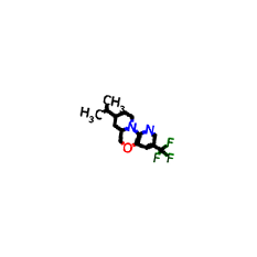 CC(C)C1CCN2c3ncc(C(F)(F)F)cc3OCC2C1